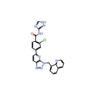 O=C(Nc1nc[nH]n1)c1ccc(-c2ccc3nnn(Cc4cccc5cccnc45)c3n2)cc1Cl